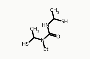 CCN(C(=O)NC(C)S)C(C)S